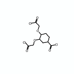 O=C(Cl)COC1CCC(C(=O)Cl)CC1OCC(=O)Cl